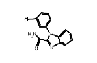 NC(=O)c1nc2ccccc2n1-c1cccc(Cl)c1